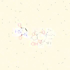 CC(C)[Si]1(C(C)C)C[Si](C(C)C)(C(C)C)OC2[C@@H](CO1)O[C@@H](Cn1ccc(=O)[nH]c1=O)[C@H]2O